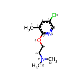 Cc1cc(Cl)cnc1OCCN(C)C